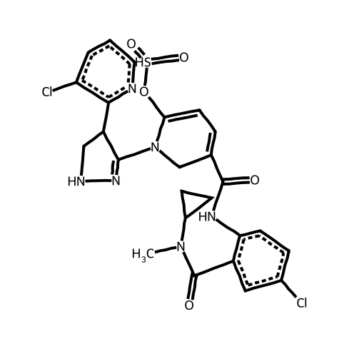 CN(C(=O)c1cc(Cl)ccc1NC(=O)C1=CC=C(O[SH](=O)=O)N(C2=NNCC2c2ncccc2Cl)C1)C1CC1